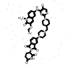 CC(=O)COc1cc2cc(Nc3nc(N4CCC(CN5CCN(c6ccc7c(c6)C(=O)N(C6CCC(=O)NC6=O)C7=O)CC5)CC4)ncc3Cl)ccc2n(C)c1=O